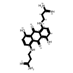 N=C(N)CCNc1ccc(O)c2c1C(=O)c1c(O)ccc(NCCC(=N)N)c1C2=O